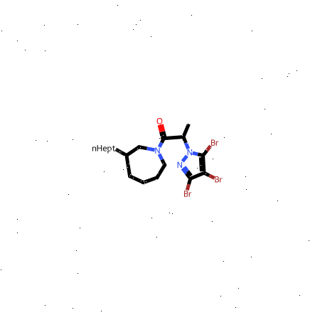 CCCCCCCC1CCCCN(C(=O)C(C)n2nc(Br)c(Br)c2Br)C1